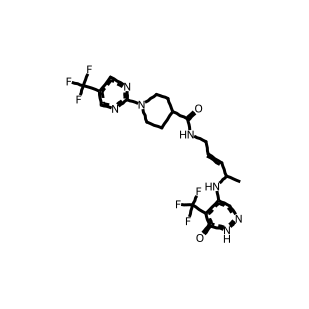 CC(/C=C/CNC(=O)C1CCN(c2ncc(C(F)(F)F)cn2)CC1)Nc1cn[nH]c(=O)c1C(F)(F)F